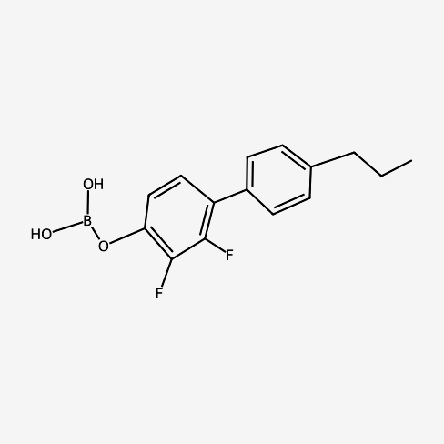 CCCc1ccc(-c2ccc(OB(O)O)c(F)c2F)cc1